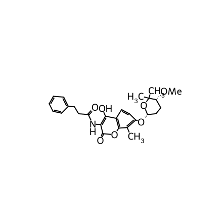 CO[C@@H]1CC[C@H](Oc2ccc3c(O)c(NC(=O)CCc4ccccc4)c(=O)oc3c2C)OC1(C)C